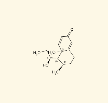 CC[C@H](O)[C@H]1[C@H](C)CCC2=CC(=O)C=C[C@@]21C